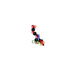 CCOP(=O)(OCC)C(F)(F)c1ccc(CN(c2ccc(Cl)c(Cl)c2)c2ncc(-c3ccc(Oc4ccc(C(=O)OC)cc4)cc3)o2)cc1Br